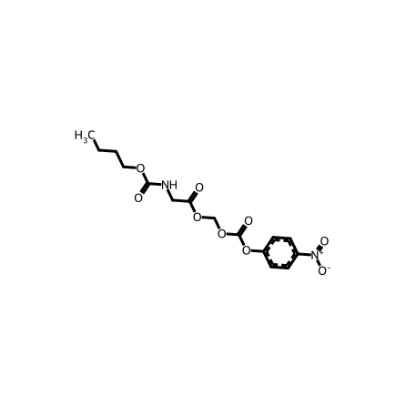 CCCCOC(=O)NCC(=O)OCOC(=O)Oc1ccc([N+](=O)[O-])cc1